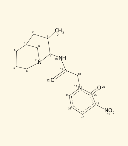 CC1CC2CCCN(C2)C1NC(=O)Cn1cccc([N+](=O)[O-])c1=O